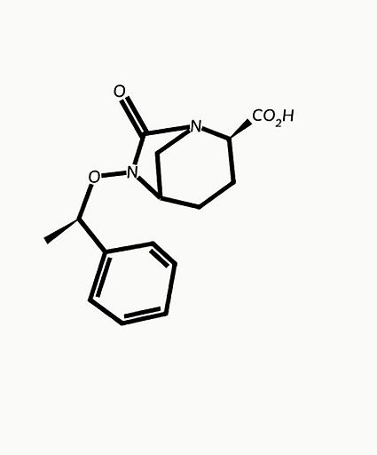 C[C@@H](ON1C(=O)N2CC1CC[C@@H]2C(=O)O)c1ccccc1